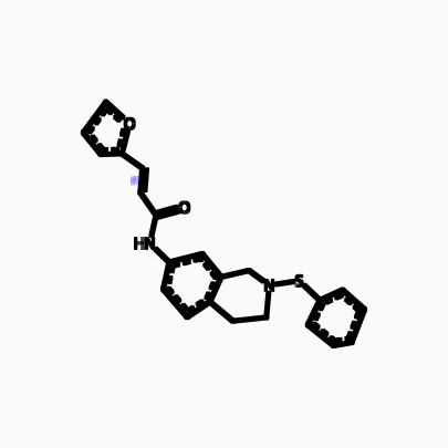 O=C(/C=C/c1ccco1)Nc1ccc2c(c1)CN(Sc1ccccc1)CC2